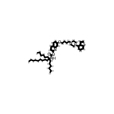 CCCCCCCCCC(CCCCCC)(CCCCCC)NC(=O)Oc1ccc2ccc(OCCCCN3CCN(c4cccc5sccc45)CC3)cc2n1